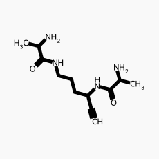 C#CC(CCCNC(=O)C(C)N)NC(=O)C(C)N